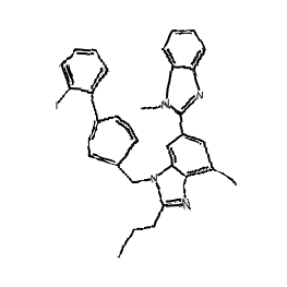 CCCc1nc2c(C)cc(-c3nc4ccccc4n3C)cc2n1Cc1ccc(-c2ccccc2I)cc1